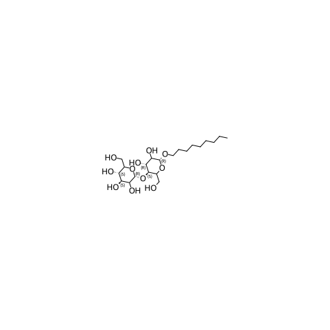 CCCCCCCCCO[C@@H]1OC(CO)[C@@H](O[C@H]2OC(CO)[C@@H](O)[C@H](O)C2O)[C@H](O)C1O